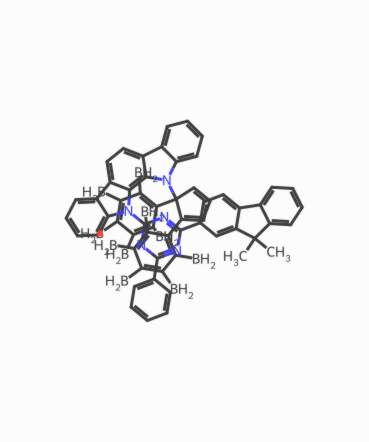 Bc1c(B)c(B)c(C2=CC=CC2(c2c(B)c(B)c(B)c(B)c2B)n2c3ccccc3c3ccc4c5ccccc5n(-c5nc(-c6ccccc6)nc(-c6ccc7c(c6)C(C)(C)c6ccccc6-7)n5)c4c32)c(B)c1B